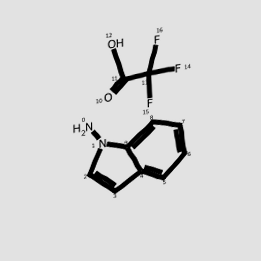 Nn1ccc2ccccc21.O=C(O)C(F)(F)F